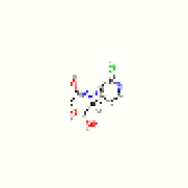 CC1(c2ccnc(Cl)c2)NC(=O)COC1O